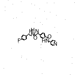 NC(C(=O)NCCc1ccc(F)cc1)c1ccc(C(=O)Nc2ccncc2)cc1